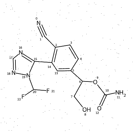 N#Cc1ccc(C(CO)OC(N)=O)cc1-c1ncnn1C(F)F